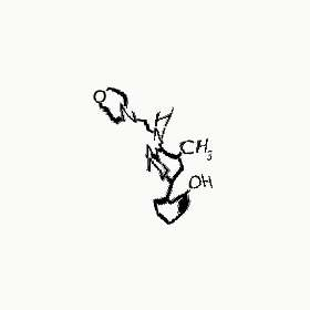 Cc1cc(-c2ccccc2O)nnc1NCCN1CCOCC1